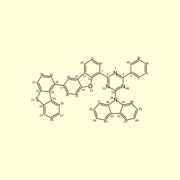 c1ccc(-c2nc(-c3cccc4c3oc3ccc(-c5cccc6sc7ccccc7c56)cc34)nc(-n3c4ccccc4c4ccccc43)n2)cc1